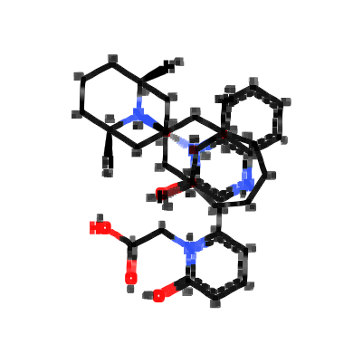 O=C(O)Cn1c(-c2nc3ccccc3n([C@H]3C[C@H]4CCC[C@@H](C3)N4[C@@H]3C[C@@H]4CCCC[C@@H](C4)C3)c2=O)cccc1=O